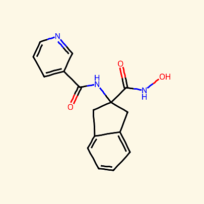 O=C(NC1(C(=O)NO)Cc2ccccc2C1)c1cccnc1